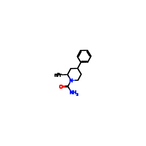 CCCC1CC(c2ccccc2)CCN1C(N)=O